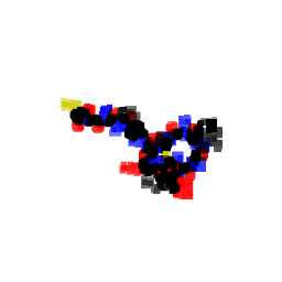 CCC(C)C1NC(=O)CNC(=O)C2Cc3c([nH]c4ccccc34)SCC(NC(=O)CNC1=O)C(=O)NC(CC(=O)NCc1ccc(NC(=O)[C@H](C)NC(=O)CNC(=O)CCN3C(=O)CC(S)C3=O)cc1)C(=O)N1CC(O)CC1CNC(C(C)C(O)CO)C(=O)N2